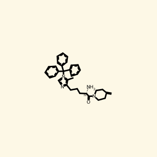 C=C1CCN(C(=O)[C@@H](N)CCCc2ncn(C(c3ccccc3)(c3ccccc3)c3ccccc3)c2C)CC1